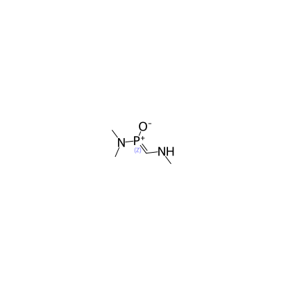 CN/C=[P+](\[O-])N(C)C